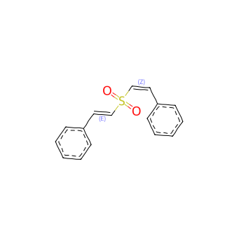 O=S(=O)(/C=C\c1ccccc1)/C=C/c1ccccc1